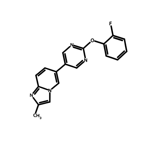 Cc1cn2cc(-c3cnc(Oc4ccccc4F)nc3)ccc2n1